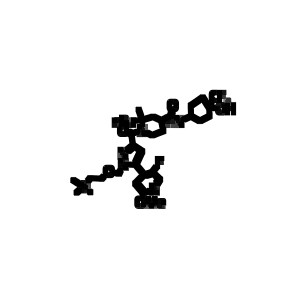 CCCCC1(C)CC(C(=O)NC2CCC(O)(C(F)(F)F)CC2)CCN1C(=O)c1cc(-c2cc(OC)ncc2F)n(COCC[Si](C)(C)C)n1